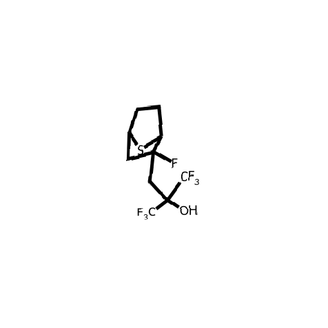 OC(CC1(F)CC2CCC1S2)(C(F)(F)F)C(F)(F)F